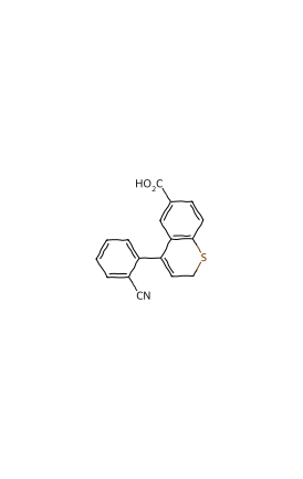 N#Cc1ccccc1C1=CCSc2ccc(C(=O)O)cc21